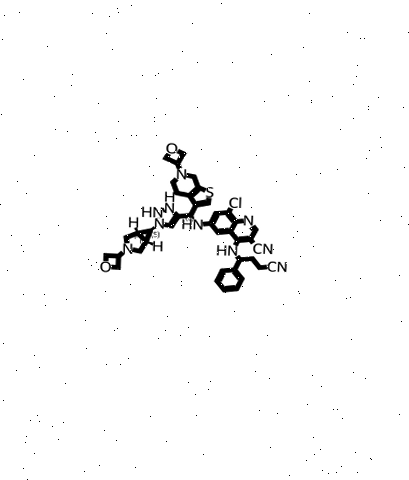 N#CCCC(Nc1c(C#N)cnc2c(Cl)cc(N[C@H](C3=CN([C@H]4[C@@H]5CN(C6COC6)C[C@@H]54)NN3)c3csc4c3CCN(C3COC3)C4)cc12)c1ccccc1